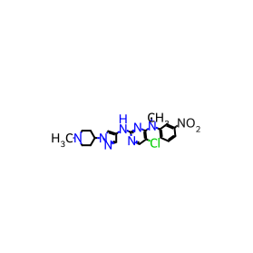 CN1CCC(n2cc(Nc3ncc(Cl)c(N(C)c4cccc([N+](=O)[O-])c4)n3)cn2)CC1